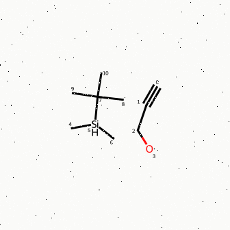 C#CC[O].C[SiH](C)C(C)(C)C